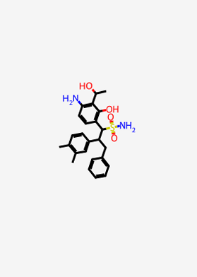 Cc1ccc(C(Cc2ccccc2)C(c2ccc(N)c(C(C)O)c2O)S(N)(=O)=O)cc1C